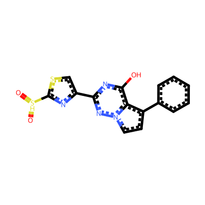 O=[SH](=O)c1nc(-c2nc(O)c3c(-c4ccccc4)ccn3n2)cs1